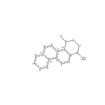 CC1CCC(Cl)c2ccc3c(ccc4ccccc43)c21